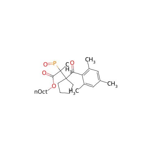 CCCCCCCCOC(=O)C(C)(P=O)C1(C(=O)c2c(C)cc(C)cc2C)CCCC1